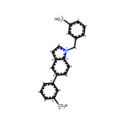 O=C(O)c1cccc(Cn2ccc3cc(-c4cccc(C(=O)O)c4)ccc32)c1